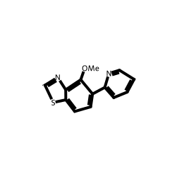 COc1c(-c2ccccn2)ccc2s[c]nc12